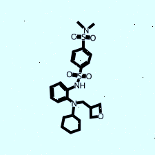 CN(C)S(=O)(=O)c1ccc(S(=O)(=O)Nc2ccccc2N(CC2COC2)C2CCCCC2)cc1